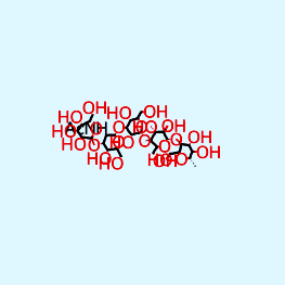 CC(=O)NC1[C@H](O[C@@H]2C(O)[C@@H](O[C@H]3C(CO)O[C@@H](O[C@@H]4C(CO)O[C@@H](C)C(O)[C@H]4O)C(O)[C@H]3O)OC(CO)[C@@H]2O)OC(CO)[C@H](O)[C@@H]1O[C@@H]1OC(CO)[C@H](O)[C@H](O)C1O